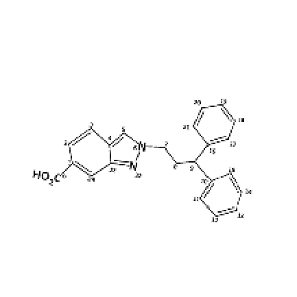 O=C(O)c1ccc2cn(CCC(c3ccccc3)c3ccccc3)nc2c1